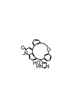 Cn1c(=O)cc2c3cc(ccc31)C(O)(c1cnc[nH]1)c1cccc(c1)OCCc1cccc-2c1